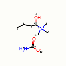 CCCC(O)[N+](C)(C)C.NC(=O)[O-]